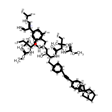 COC(=O)N[C@H](C(=O)N[C@@H](Cc1ccc(C#Cc2ccc(N3CC4CCC(C3)N4C3COC3)nc2)cc1)[C@@H](O)CN(Cc1c(F)cc(/C(C=N)=C/NC(F)F)cc1F)NC(=O)[C@@H](NC(=O)OC)C(C)(C)CF)C(C)(C)CF